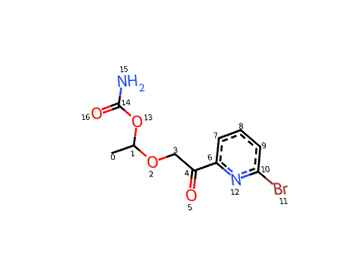 CC(OCC(=O)c1cccc(Br)n1)OC(N)=O